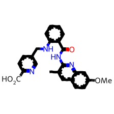 COc1ccc2cc(C)c(NC(=O)c3ccccc3NCc3ccc(C(=O)O)nc3)nc2c1